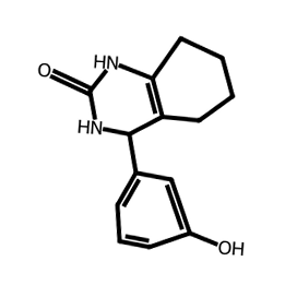 O=C1NC2=C(CCCC2)C(c2cccc(O)c2)N1